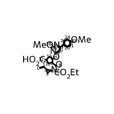 C=CC1CC1N(C(=O)OCC)C(=O)C1CC(C(=O)O)CC1Oc1cc(-c2ccc(OC)cc2)nc(OC)n1